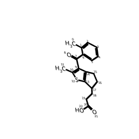 Cc1ccccc1C(=O)c1c(C)sc2c1CCC2CCC(=O)O